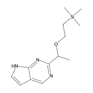 CC(OCC[Si](C)(C)C)c1ncc2cc[nH]c2n1